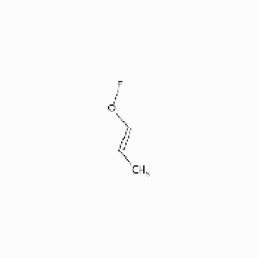 CC=COF